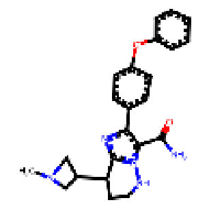 CN1CC(C2CCNn3c2nc(-c2ccc(Oc4ccccc4)cc2)c3C(N)=O)C1